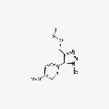 CCn1nnc(COSI)c1-c1ccc(OC)cc1